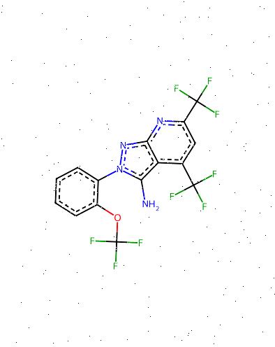 Nc1c2c(C(F)(F)F)cc(C(F)(F)F)nc2nn1-c1ccccc1OC(F)(F)F